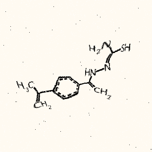 C=C(C)c1ccc(C(=C)N/N=C(\N)S)cc1